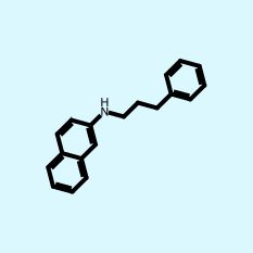 [c]1cc2ccccc2cc1NCCCc1ccccc1